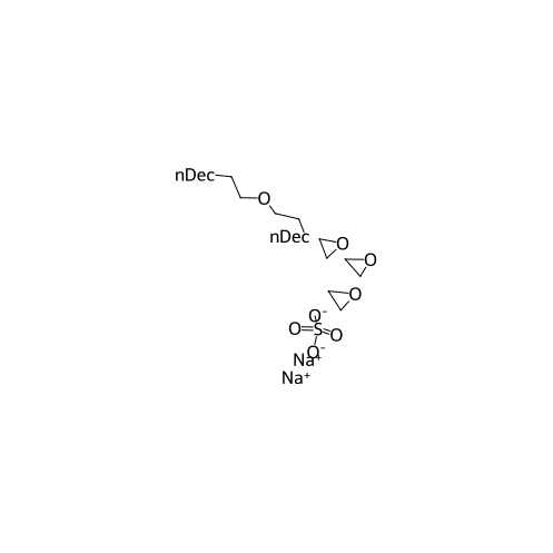 C1CO1.C1CO1.C1CO1.CCCCCCCCCCCCOCCCCCCCCCCCC.O=S(=O)([O-])[O-].[Na+].[Na+]